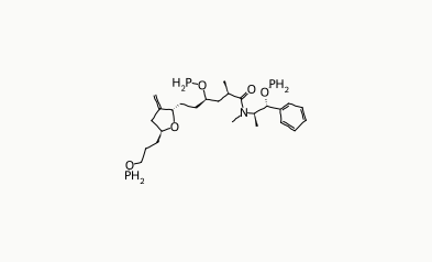 C=C1C[C@H](CCCOP)O[C@H]1CC[C@H](C[C@@H](C)C(=O)N(C)[C@H](C)[C@H](OP)c1ccccc1)OP